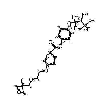 CC1(COCCOc2ccc(C(=O)Oc3ccc(OC(F)(F)C(F)C(F)(F)F)cc3)cc2)COC1